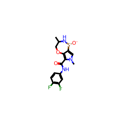 CC1COc2c(cn(C)c2C(=O)Nc2ccc(F)c(F)c2)[S+]([O-])N1